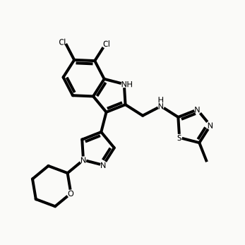 Cc1nnc(NCc2[nH]c3c(Cl)c(Cl)ccc3c2-c2cnn(C3CCCCO3)c2)s1